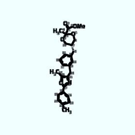 COC(=O)[C@]1(C)OC[C@H](Cc2cccc(Cc3nc(-c4ccc(C)cc4)oc3C)c2)CO1